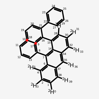 [2H]c1c([2H])c([2H])c2c(-c3ccccc3)c3c(-c4ccccc4-c4ccccc4)c([2H])c([2H])c([2H])c3c([2H])c2c1[2H]